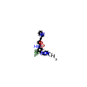 CN1CCN(Cc2ccc(NC(=O)c3ccc(C#Cc4cnc5ccccn45)o3)cc2C(F)(F)F)CC1